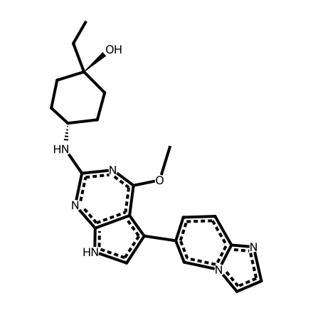 CC[C@]1(O)CC[C@H](Nc2nc(OC)c3c(-c4ccc5nccn5c4)c[nH]c3n2)CC1